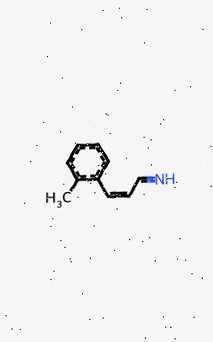 Cc1ccccc1/C=C\C=N